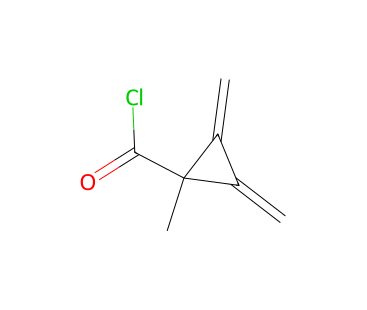 C=C1C(=C)C1(C)C(=O)Cl